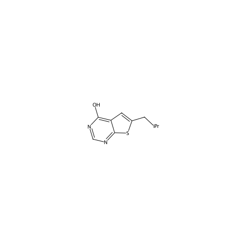 CC(C)Cc1cc2c(O)ncnc2s1